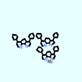 [Rh].c1ccc(-c2ccnc3c2ccc2c(-c4ccccc4)ccnc23)cc1.c1ccc(-c2ccnc3c2ccc2c(-c4ccccc4)ccnc23)cc1.c1ccc(-c2ccnc3c2ccc2c(-c4ccccc4)ccnc23)cc1